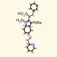 CSc1c(C(Cc2ccccc2)C(=O)O)n(C)c2ccc(OCc3ccccn3)cc12